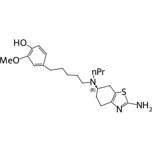 CCCN(CCCCCc1ccc(O)c(OC)c1)[C@@H]1CCc2nc(N)sc2C1